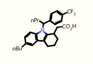 CCCCc1ccc2c(c1)c1c(n2C(CCC)c2ccc(C(F)(F)F)cc2)C(CC(=O)O)CCC1